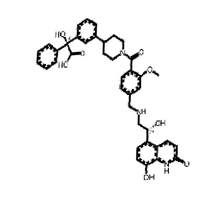 COc1cc(CNC[C@H](O)c2ccc(O)c3[nH]c(=O)ccc23)ccc1C(=O)N1CCC(c2cccc([C@](O)(C(=O)O)c3ccccc3)c2)CC1